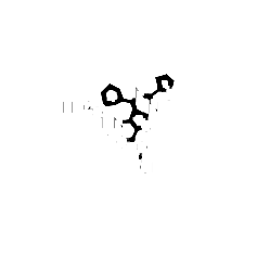 CCOC(=O)c1sc2nc(-c3cccs3)nc(-c3cccc(OC)c3)c2c1N